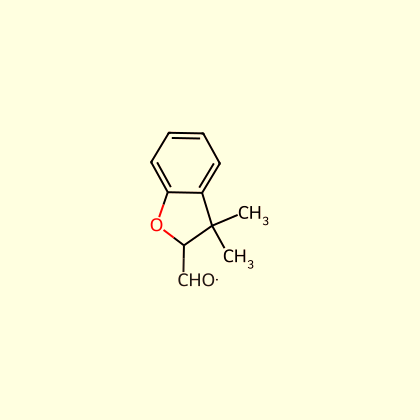 CC1(C)c2ccccc2OC1[C]=O